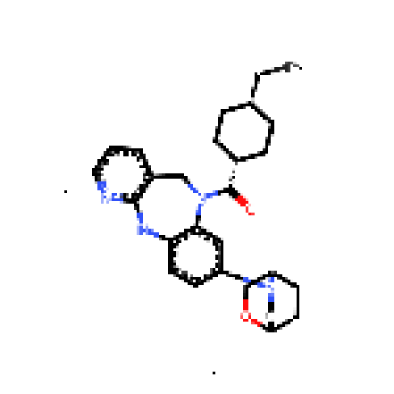 CC(C)C[C@H]1CC[C@H](C(=O)N2Cc3cccnc3Nc3ccc(N4CC5CCC4CO5)cc32)CC1